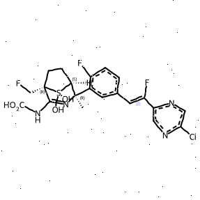 C[C@]1(c2cc(/C=C(\F)c3cnc(Cl)cn3)ccc2F)N=C(NC(=O)O)[C@@]2(CF)CC[C@@H]1S2(O)O